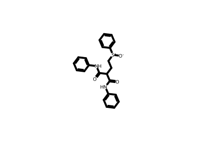 O=C(Nc1ccccc1)C(CC[S+]([O-])c1ccccc1)C(=O)Nc1ccccc1